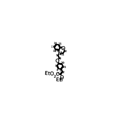 CCOC(=O)/C(=C\c1ccc(OCCN2CCOc3ccccc32)cc1)OCC